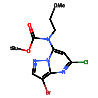 COCCN(C(=O)OC(C)(C)C)c1cc(Cl)nc2c(Br)cnn12